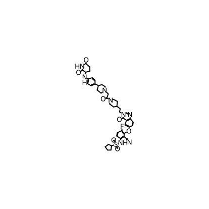 N#Cc1c(NS(=O)(=O)C2CCCC2)ccc(F)c1Oc1ccc2ncn(CCC3CCN(C(=O)CN4CCC(c5ccc(NC6CCC(=O)NC6=O)cc5)CC4)CC3)c(=O)c2c1